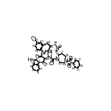 C[C@@H](c1c[nH]c2ccccc12)[C@@H](NC(=O)N1CCCN(S(=O)(=O)c2ccccc2)CC1)C(=O)N1C[C@@H](CN(C)C)Cc2cc(Cl)ccc21